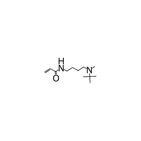 C=CC(=O)NCCCCN(C)C(C)(C)C